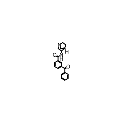 O=C(NC1CN2CC[C@H]1C2)c1cccc(C(=O)c2ccccc2)c1